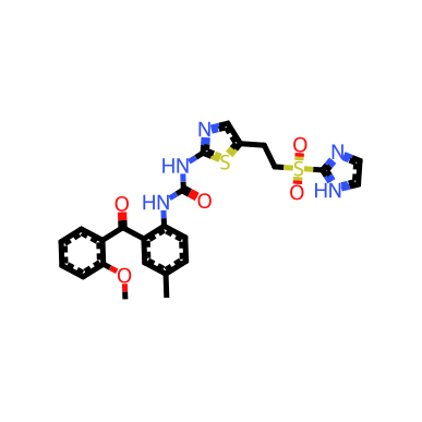 COc1ccccc1C(=O)c1cc(C)ccc1NC(=O)Nc1ncc(CCS(=O)(=O)c2ncc[nH]2)s1